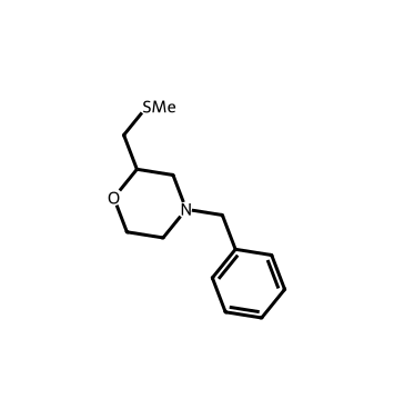 CSCC1CN(Cc2ccccc2)CCO1